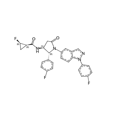 O=C(N[C@H]1CC(=O)N(c2ccc3c(cnn3-c3ccc(F)cc3)c2)[C@@H]1c1ccc(F)cc1)[C@H]1C[C@H]1F